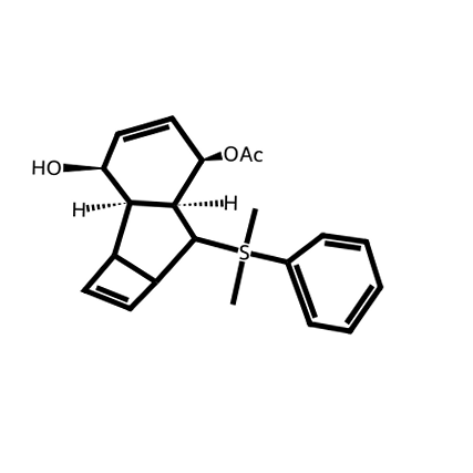 CC(=O)O[C@@H]1C=C[C@H](O)[C@@H]2C3C=CC3C(S(C)(C)c3ccccc3)[C@@H]21